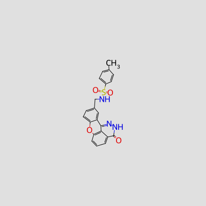 Cc1ccc(S(=O)(=O)NCc2ccc3c(c2)-c2n[nH]c(=O)c4cccc(c24)O3)cc1